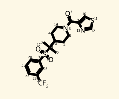 CC(C)(C1CCN(C(=O)c2cscn2)CC1)S(=O)(=O)c1cccc(C(F)(F)F)c1